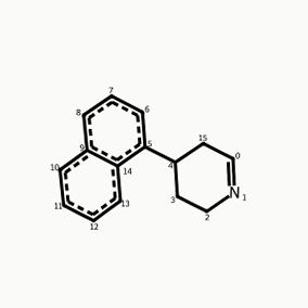 C1=NCCC(c2cccc3ccccc23)C1